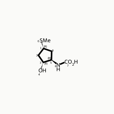 CS[C@H]1C[C@@H](O)[C@H](NC(=O)O)C1